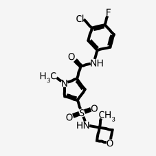 Cn1cc(S(=O)(=O)NC2(C)COC2)cc1C(=O)Nc1ccc(F)c(Cl)c1